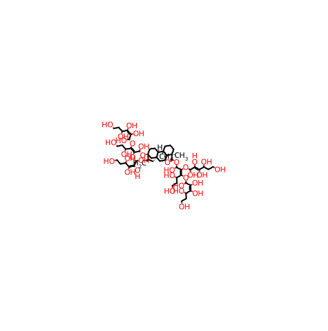 C=C1C[C@@]23CCC4[C@](C)(C(=O)OC(O)/C(OC(O)/C(O)=C(\O)C(O)CCO)=C(/OC(O)/C(O)=C(/O)C(O)CCO)C(O)CCO)CCC[C@@]4(C)[C@@H]2CC[C@]1(OC(O)/C(OC(O)/C(O)=C(/O)C(O)CCO)=C(\OC(O)/C(O)=C(/O)C(O)CCO)C(O)CCO)C3